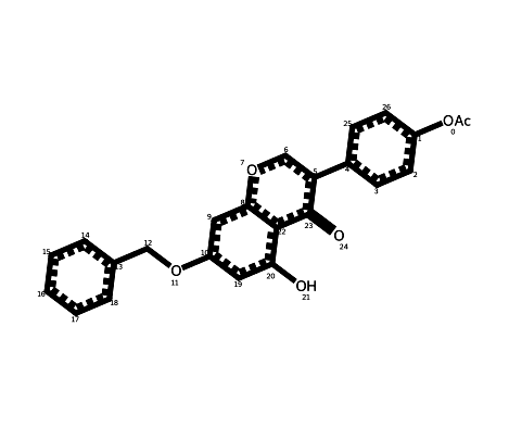 CC(=O)Oc1ccc(-c2coc3cc(OCc4ccccc4)cc(O)c3c2=O)cc1